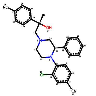 C[C@@](O)(CN1CCN(c2ccc(C#N)cc2Cl)[C@H](c2ccccc2)C1)c1ccc(C#N)cc1